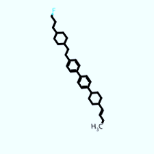 CC/C=C/C1CCC(c2ccc(-c3ccc(CCC4CCC(CCCF)CC4)cc3)cc2)CC1